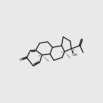 C=C(C)[C@@]1(O)CCC2C3CCC4=CC(=O)C=C[C@]4(C)C3CC[C@@]21C